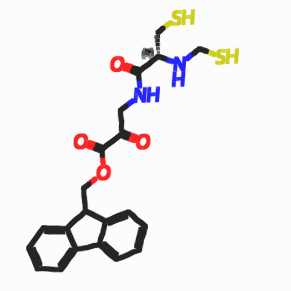 O=C(CNC(=O)[C@H](CS)NCS)C(=O)OCC1c2ccccc2-c2ccccc21